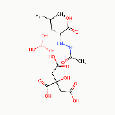 CC(=O)NN[C@H](CC(C)C)C(=O)O.O=C(O)CC(O)(CC(=O)O)C(=O)O.OB(O)O